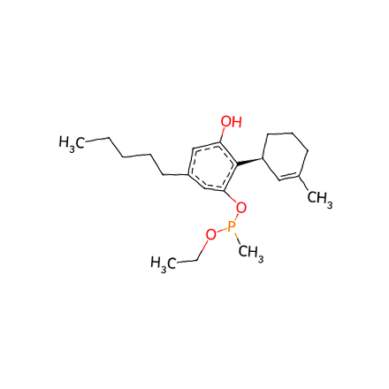 CCCCCc1cc(O)c([C@@H]2C=C(C)CCC2)c(OP(C)OCC)c1